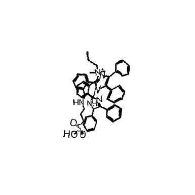 CCC[N+](C)(C)Cc1ccccc1C1(n2c(-c3ccccc3CNCCCS(=O)(=O)O)nc(-c3ccccc3)c2-c2ccccc2)N=C(c2ccccc2)C(c2ccccc2)N1